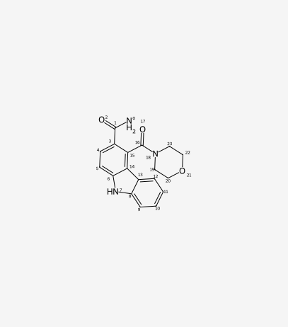 NC(=O)c1ccc2[nH]c3ccccc3c2c1C(=O)N1CCOCC1